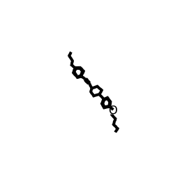 CCCCCOc1ccc(C2CCC(C#Cc3ccc(CCCC)cc3)CC2)cc1